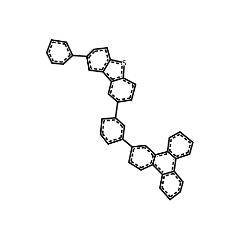 c1ccc(-c2ccc3sc4ccc(-c5cccc(-c6ccc7c8ccccc8c8ccccc8c7c6)c5)cc4c3c2)cc1